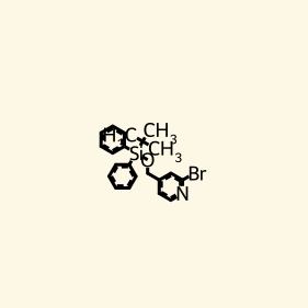 CC(C)(C)[Si](OCc1ccnc(Br)c1)(c1ccccc1)c1ccccc1